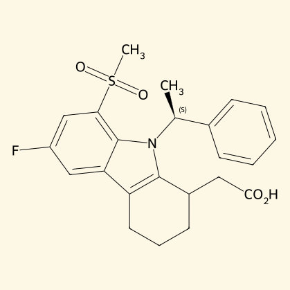 C[C@@H](c1ccccc1)n1c2c(c3cc(F)cc(S(C)(=O)=O)c31)CCCC2CC(=O)O